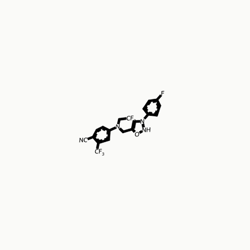 N#Cc1ccc(N(CC2=CN(c3ccc(F)cc3)NO2)CC(F)(F)F)cc1C(F)(F)F